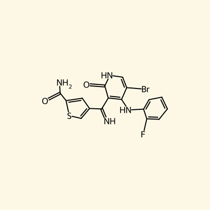 N=C(c1csc(C(N)=O)c1)c1c(Nc2ccccc2F)c(Br)c[nH]c1=O